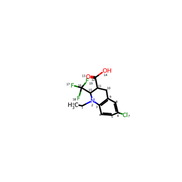 CCN1c2ccc(Cl)cc2CC(C(=O)O)C1C(F)(F)F